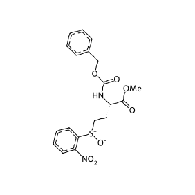 COC(=O)[C@H](CC[S+]([O-])c1ccccc1[N+](=O)[O-])NC(=O)OCc1ccccc1